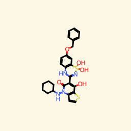 O=c1c(C2=NS(O)(O)c3cc(OCc4ccccc4)ccc3N2)c(O)c2sccc2n1NC1CCCCC1